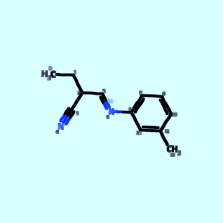 CCC(C#N)/C=N/c1cccc(C)c1